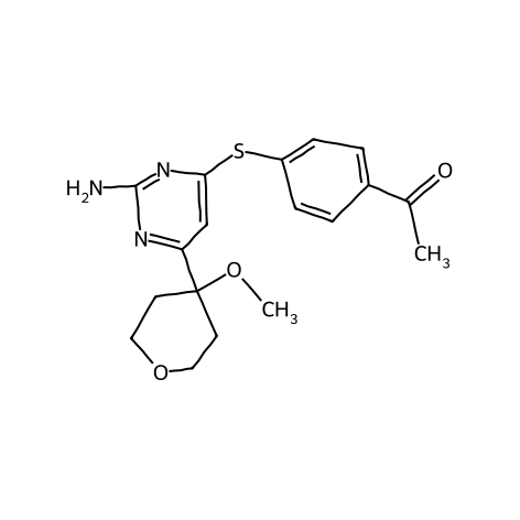 COC1(c2cc(Sc3ccc(C(C)=O)cc3)nc(N)n2)CCOCC1